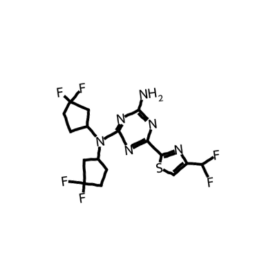 Nc1nc(-c2nc(C(F)F)cs2)nc(N(C2CCC(F)(F)C2)C2CCC(F)(F)C2)n1